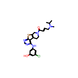 CC(C)N(C)CC=CC(=O)N1CCc2c(sc3ncnc(Nc4cc(O)cc(Cl)c4)c23)C1